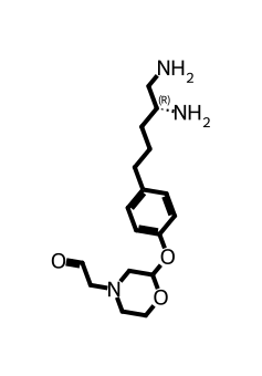 NC[C@H](N)CCCc1ccc(OC2CN(CC=O)CCO2)cc1